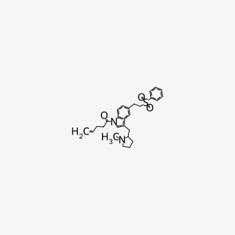 C=CCCC(=O)n1cc(CC2CCCN2C)c2cc(CCS(=O)(=O)c3ccccc3)ccc21